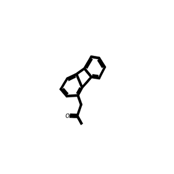 CC(=O)Cc1cccc2c1-c1ccccc1-2